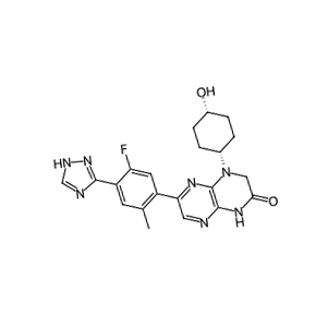 Cc1cc(-c2nc[nH]n2)c(F)cc1-c1cnc2c(n1)N([C@H]1CC[C@@H](O)CC1)CC(=O)N2